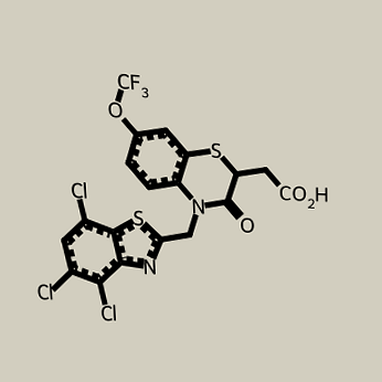 O=C(O)CC1Sc2cc(OC(F)(F)F)ccc2N(Cc2nc3c(Cl)c(Cl)cc(Cl)c3s2)C1=O